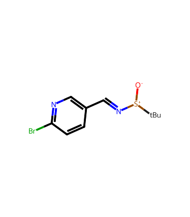 CC(C)(C)[S+]([O-])N=Cc1ccc(Br)nc1